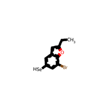 CCc1cc2cc([SeH])cc(Br)c2o1